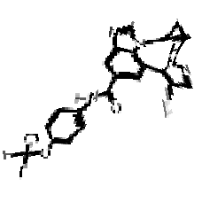 O=C(Nc1ccc(OC(F)(F)Cl)cc1)c1cc(-c2[nH]ncc2F)c2c(c1)ncn2C1CC1